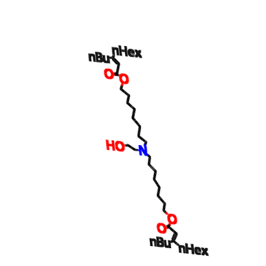 CCCCCCC(=CC(=O)OCCCCCCCCN(CCO)CCCCCCCCOC(=O)/C=C(\CCCC)CCCCCC)CCCC